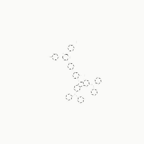 Cc1ccc(-c2cc(-c3ccc(-c4cc(C)c(-n5c6ccc(N(c7ccccc7)c7ccccc7)cc6c6cc(N(c7ccccc7)c7ccccc7)ccc65)c(C)c4)cc3)nc(-c3ccc(C)cc3)n2)cc1